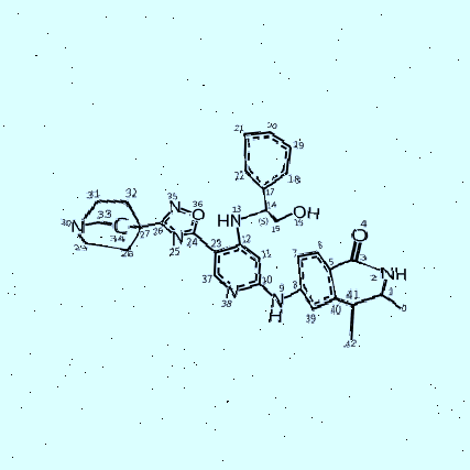 CC1NC(=O)c2ccc(Nc3cc(N[C@H](CO)c4ccccc4)c(-c4nc(C56CCN(CC5)CC6)no4)cn3)cc2C1C